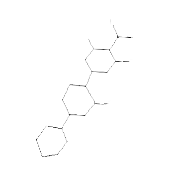 FC(F)C1C(F)CC(C2CCC(C3CCCCC3)CC2F)CC1F